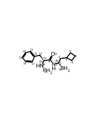 B[C@H](CC1CCC1)NC(=O)[C@H](Cc1ccccc1)NP